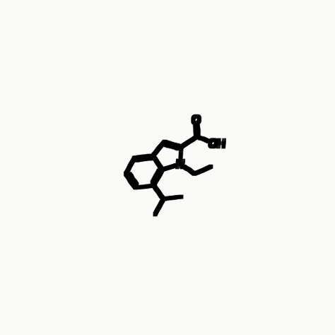 CCn1c(C(=O)O)cc2cccc(C(C)C)c21